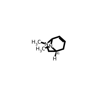 CN1C[C@H]2CC=CC1N2C